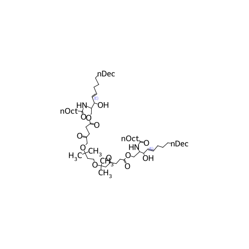 CCCCCCCCCCCCC/C=C/C(O)C(COC(=O)CCC(=O)COC(C)(C)CCOC(C)(C)CC(=O)CCC(=O)OCC(NC(=O)CCCCCCCC)C(O)/C=C/CCCCCCCCCCCCC)NC(=O)CCCCCCCC